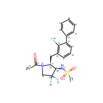 CCS(=O)(=O)N[C@@H]1[C@H](Cc2cccc(-c3ccccc3)c2F)N(C(=O)C(C)C)CC1(F)F